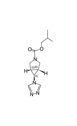 CC(C)COC(=O)N1C[C@@H]2[C@H](C1)[C@H]2n1cnnc1